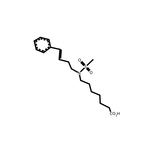 CS(=O)(=O)N(CCC=Cc1ccccc1)CCCCCCC(=O)O